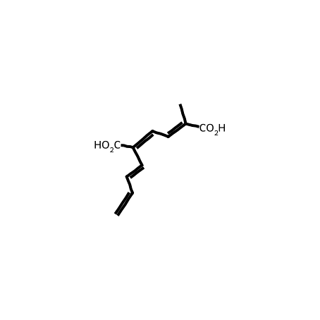 C=CC=CC(=CC=C(C)C(=O)O)C(=O)O